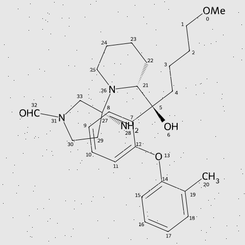 COCCCC[C@](O)(c1ccccc1Oc1ccccc1C)[C@H]1CCCCN1[C@@]1(N)CCN(C=O)C1